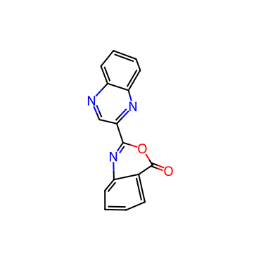 O=c1oc(-c2cnc3ccccc3n2)nc2ccccc12